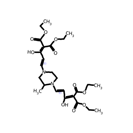 CCOC(=O)C(C(=O)OCC)=C(O)/C=C/N1CCN(/C=C/C(O)=C(C(=O)OCC)C(=O)OCC)C(C)C1